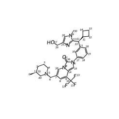 C[C@H]1CCCN(Cc2cc(C(F)(F)F)c3cn(-c4cccc([C@@H](c5nc(CO)cn5C)C5CCC5)c4)c(=O)n3c2)C1